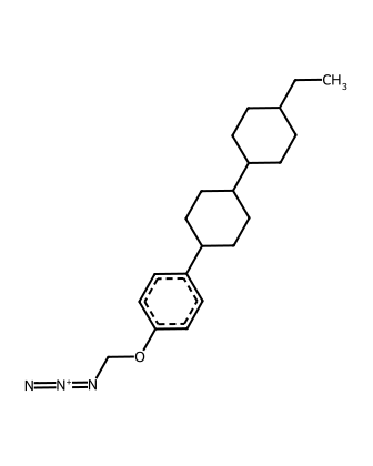 CCC1CCC(C2CCC(c3ccc(OCN=[N+]=[N-])cc3)CC2)CC1